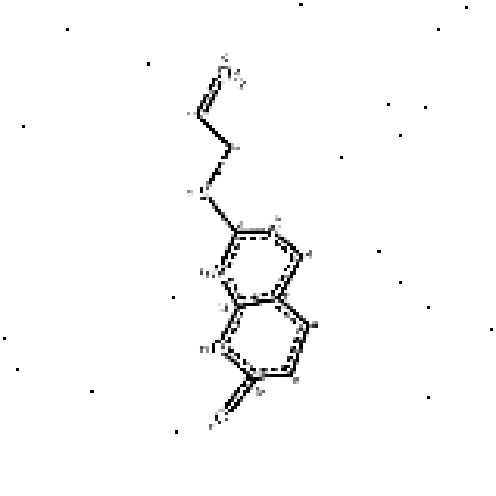 C=CCSc1ncc2ccc(=O)oc2n1